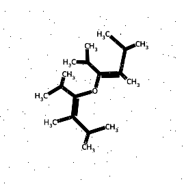 CC(=C(OC(=C(C)C(C)C)C(C)C)C(C)C)C(C)C